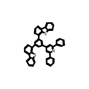 c1ccc(-c2cc(-c3cc(-c4cccc5c4sc4ccccc45)cc(-c4cccc5c4sc4ccccc45)c3)cc(-c3ccccc3)n2)cc1